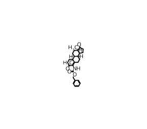 C[C@]12CCC(=O)C(NC(=O)OCc3ccccc3)=C1CC[C@@H]1[C@@H]2CC[C@]2(C)C(=O)CC[C@@H]12